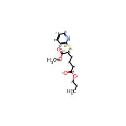 CCCOC(=O)CCCC(Sc1ccccn1)C(=O)OC